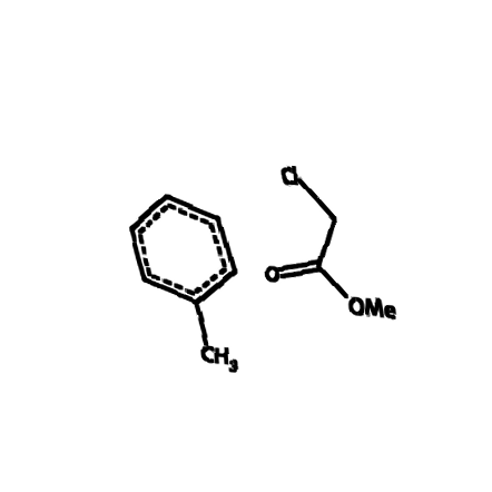 COC(=O)CCl.Cc1ccccc1